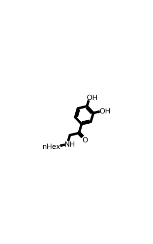 CCCCCCNCC(=O)c1ccc(O)c(O)c1